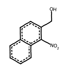 O=[N+]([O-])c1c(CO)ccc2ccccc12